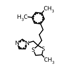 Cc1cc(C)cc(CCCC2(Cn3ccnc3)SCC(C)S2)c1